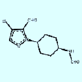 O=CN[C@H]1CC[C@@H](n2ncc(Cl)c2C=O)CC1